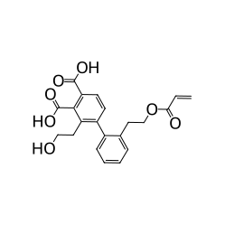 C=CC(=O)OCCc1ccccc1-c1ccc(C(=O)O)c(C(=O)O)c1CCO